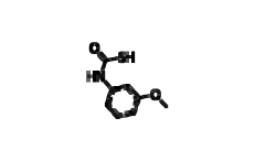 COc1cccc(NC(=O)S)c1